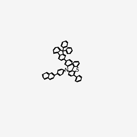 c1ccc(-c2ccc(N(c3ccc(-c4ccc5ccccc5c4)cc3)c3cccc(-c4ccc5c(c4)C(c4ccccc4)(c4ccccc4)c4ccccc4-5)c3)c3c2sc2ccccc23)cc1